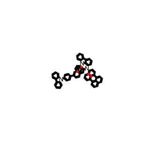 c1ccc(-c2cccc3cccc(-c4ccc(N(c5ccc6cc(-c7ccc(-n8c9ccccc9c9ccccc98)cc7)ccc6c5)c5cccc6c7ccccc7n(-c7ccccc7)c56)cc4)c23)cc1